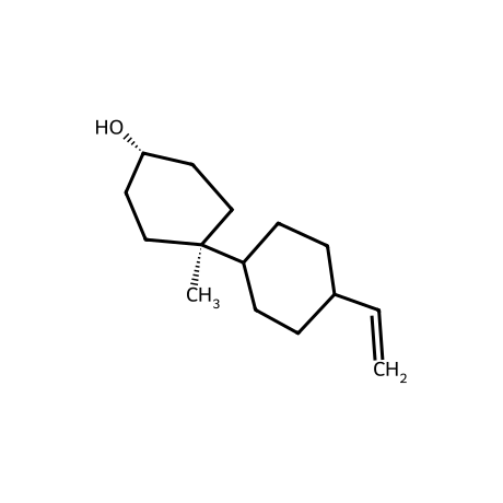 C=CC1CCC([C@]2(C)CC[C@@H](O)CC2)CC1